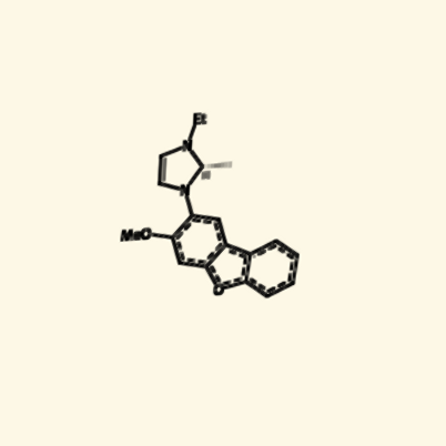 CCN1C=CN(c2cc3c(cc2OC)oc2ccccc23)[C@H]1C